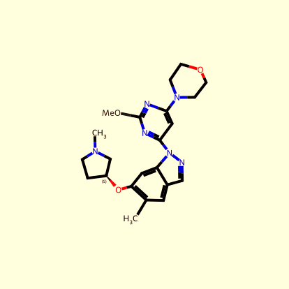 COc1nc(N2CCOCC2)cc(-n2ncc3cc(C)c(O[C@H]4CCN(C)C4)cc32)n1